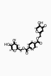 O=C(OCc1cc(=O)c(O)co1)c1ccc(C(=O)OCc2cc(=O)c(O)co2)nc1